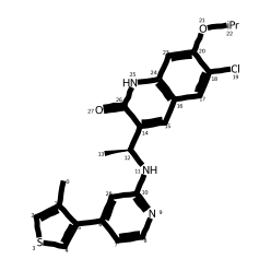 Cc1cscc1-c1ccnc(N[C@@H](C)c2cc3cc(Cl)c(OC(C)C)cc3[nH]c2=O)c1